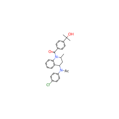 CC(=O)N(c1ccc(Cl)cc1)C1CC(C)N(C(=O)c2ccc(C(C)(C)O)cc2)c2ccccc21